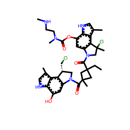 CCC1(C(=O)N2CC(C)(Cl)c3c2cc(OC(=O)N(C)CCNC)c2[nH]cc(C)c32)CC(C)(C(=O)N2C[C@@H](CCl)c3c2cc(O)c2[nH]cc(C)c32)C1